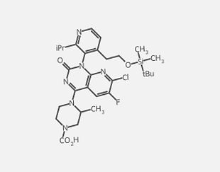 CC(C)c1nccc(CCO[Si](C)(C)C(C)(C)C)c1-n1c(=O)nc(N2CCN(C(=O)O)CC2C)c2cc(F)c(Cl)nc21